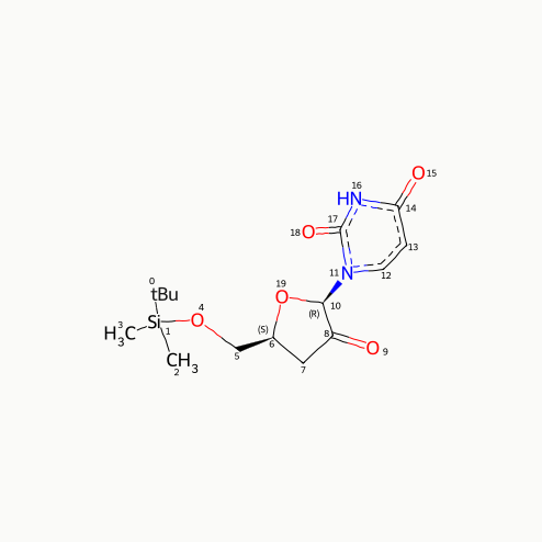 CC(C)(C)[Si](C)(C)OC[C@@H]1CC(=O)[C@H](n2ccc(=O)[nH]c2=O)O1